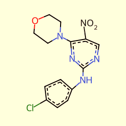 O=[N+]([O-])c1cnc(Nc2ccc(Cl)cc2)nc1N1CCOCC1